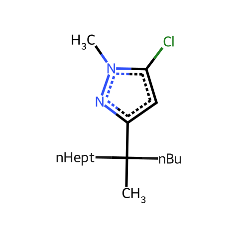 CCCCCCCC(C)(CCCC)c1cc(Cl)n(C)n1